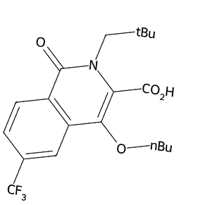 CCCCOc1c(C(=O)O)n(CC(C)(C)C)c(=O)c2ccc(C(F)(F)F)cc12